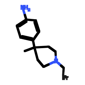 CC(C)CN1CCC(C)(c2ccc(N)cc2)CC1